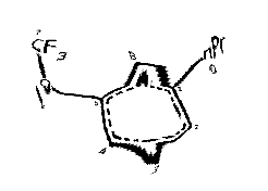 [CH]CCc1cccc(OC(F)(F)F)c1